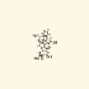 COCCCC[C@@](O)(c1ccc(C#N)cc1-c1cccc(C)c1)[C@@H]1CCCN(C(=O)[C@@H]2C[C@@H](O)[C@H](NC(=O)O)C2)C1